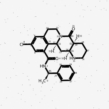 C[C@@H](NC(=O)c1cc(Cl)cc2c1[C@@H]1C[C@@H]3NCCC[C@@H]3C(=O)N1CC2)c1ccccc1